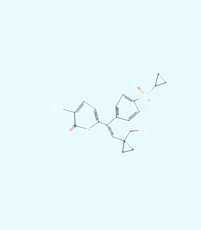 Cc1ccc(/C(=C/C2(CO)CC2)c2ccc(S(=O)(=O)C3CC3)cc2)[nH]c1=O